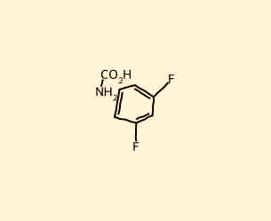 Fc1cccc(F)c1.NC(=O)O